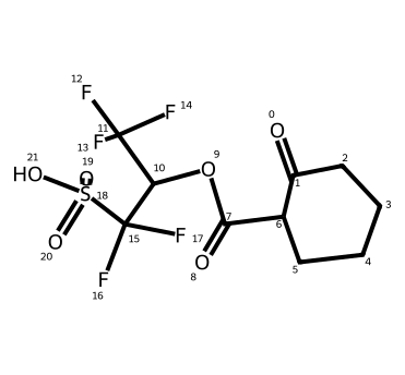 O=C1CCCCC1C(=O)OC(C(F)(F)F)C(F)(F)S(=O)(=O)O